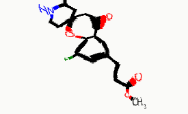 COC(=O)C=Cc1cc(F)c2c(c1)C(=O)CC1(CCNCC1)O2